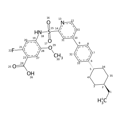 CC[C@H]1CC[C@H](c2ccc(-c3ccnc(S(=O)(=O)Nc4cc(F)c(C(=O)O)cc4OC)c3)cc2)CC1